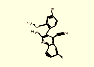 COc1cc(Br)ccc1-c1c(N)nc2ccc(I)cc2c1C#N